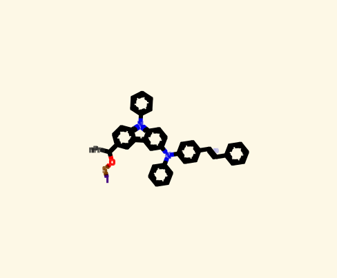 CCCC(OSI)c1ccc2c(c1)c1cc(N(c3ccccc3)c3ccc(/C=C/c4ccccc4)cc3)ccc1n2-c1ccccc1